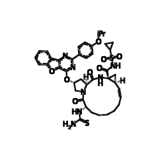 CC(C)Oc1ccc(-c2nc(O[C@@H]3C[C@H]4C(=O)N[C@]5(C(=O)NS(=O)(=O)C6CC6)C[C@H]5C=CCCCCC[C@H](NC(N)=S)C(=O)N4C3)c3oc4ccccc4c3n2)cc1